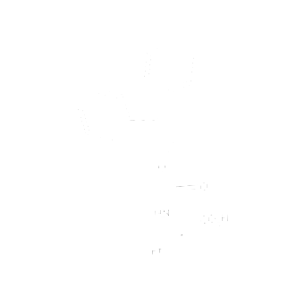 CCC(C)(NC(=O)OCC1c2ccccc2-c2ccccc21)C(=O)O